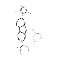 C/C(N)=C(\c1cnc2c3ccc(-c4c(C)noc4C)nc3n(CC3CCOCC3)c2c1)N(C)N